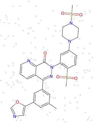 Cc1cc(-c2cnco2)cc(-c2nn(-c3cc(N4CCN(S(C)(=O)=O)CC4)ccc3S(C)(=O)=O)c(=O)c3ncccc23)c1